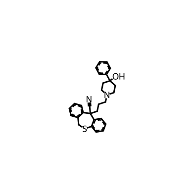 N#CC1(CCCN2CCC(O)(c3ccccc3)CC2)c2ccccc2CSc2ccccc21